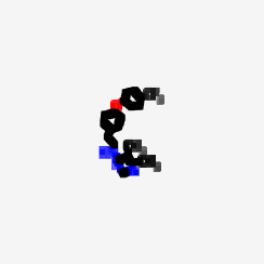 Cc1ncnc(NCCc2ccc(Oc3ccc(C(F)(F)F)cc3)cc2)c1C